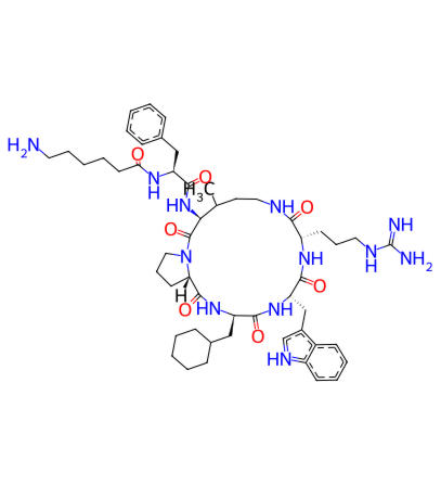 CC1CCNC(=O)[C@H](CCCNC(=N)N)NC(=O)[C@H](Cc2c[nH]c3ccccc23)NC(=O)[C@@H](CC2CCCCC2)NC(=O)[C@@H]2CCCN2C(=O)[C@H]1NC(=O)[C@H](Cc1ccccc1)NC(=O)CCCCCN